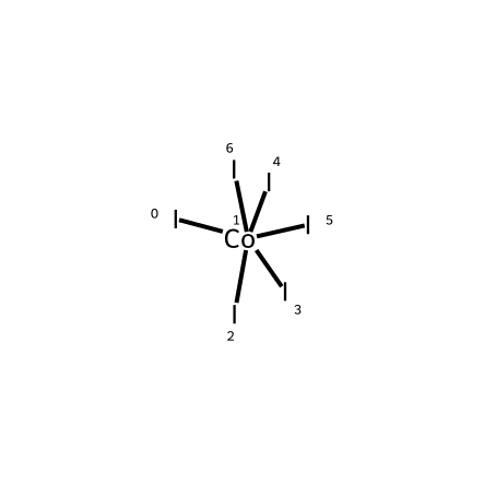 [I][Co]([I])([I])([I])([I])[I]